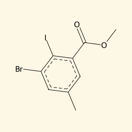 COC(=O)c1cc(C)cc(Br)c1I